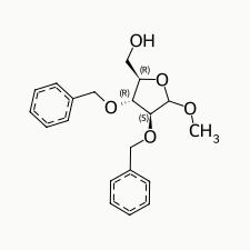 COC1O[C@H](CO)[C@@H](OCc2ccccc2)[C@@H]1OCc1ccccc1